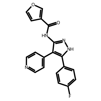 O=C(Nc1n[nH]c(-c2ccc(F)cc2)c1-c1ccncc1)c1ccoc1